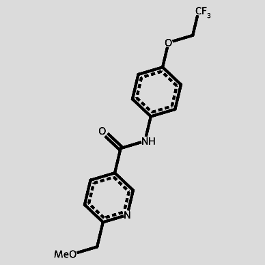 COCc1ccc(C(=O)Nc2ccc(OCC(F)(F)F)cc2)cn1